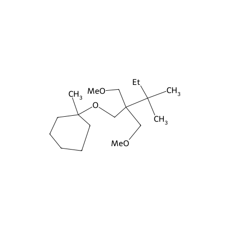 CCC(C)(C)C(COC)(COC)COC1(C)CCCCC1